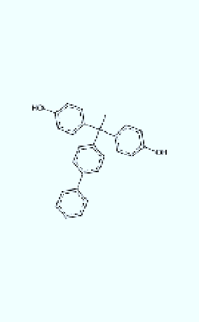 CC(c1ccc(O)cc1)(c1ccc(O)cc1)c1ccc(-c2ccccc2)cc1